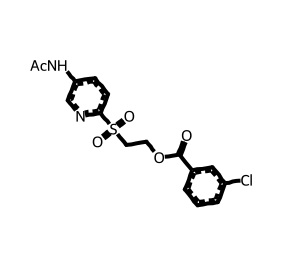 CC(=O)Nc1ccc(S(=O)(=O)CCOC(=O)c2cccc(Cl)c2)nc1